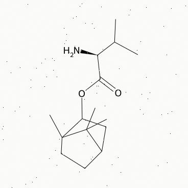 CC(C)[C@H](N)C(=O)OC1CC2CCC1(C)C2(C)C